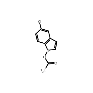 CC(=O)On1ccc2cc(Cl)ccc21